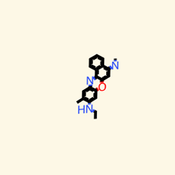 CCNc1cc2oc3c/c(=N/C)c4ccccc4c-3nc2cc1C